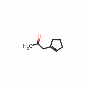 CC(=O)[CH]C1=CCCC1